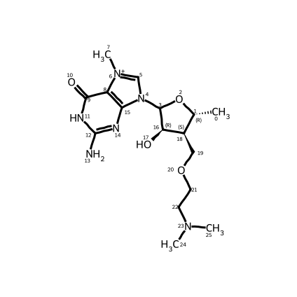 C[C@H]1OC(n2c[n+](C)c3c(=O)[nH]c(N)nc32)[C@H](O)[C@@H]1COCCN(C)C